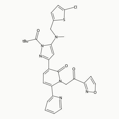 CN(Cc1ccc(Cl)s1)c1cc(-c2ccc(-c3ccccn3)n(CC(=O)c3ccon3)c2=O)nn1C(=O)C(C)(C)C